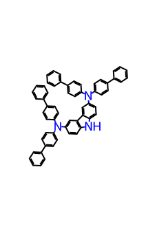 c1ccc(-c2ccc(N(c3ccc(-c4ccccc4)cc3)c3ccc4[nH]c5ccc(N(c6ccc(-c7ccccc7)cc6)c6ccc(-c7ccccc7)cc6)cc5c4c3)cc2)cc1